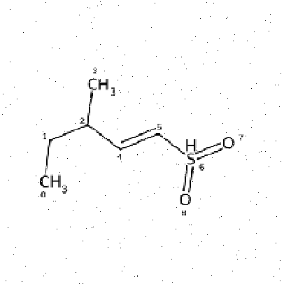 CCC(C)C=C[SH](=O)=O